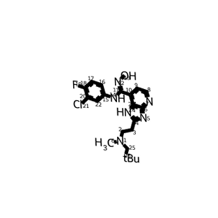 CN(CCc1nc2nccc(/C(=N\O)Nc3ccc(F)c(Cl)c3)c2[nH]1)CC(C)(C)C